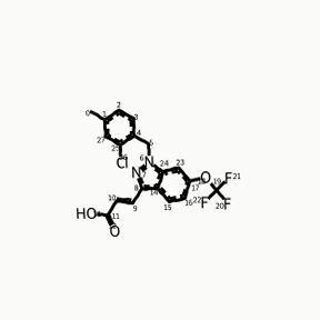 Cc1ccc(Cn2nc(C=CC(=O)O)c3ccc(OC(F)(F)F)cc32)c(Cl)c1